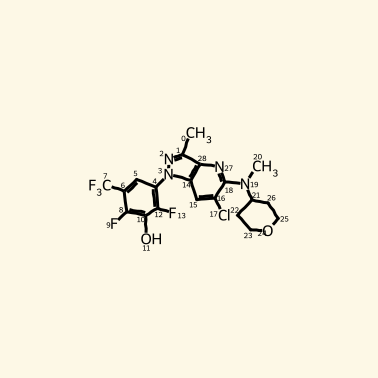 Cc1nn(-c2cc(C(F)(F)F)c(F)c(O)c2F)c2cc(Cl)c(N(C)C3CCOCC3)nc12